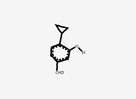 CCOc1cc(C=O)ccc1C1CC1